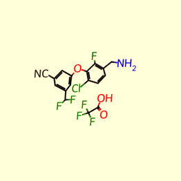 N#Cc1cc(Oc2c(Cl)ccc(CN)c2F)cc(C(F)F)c1.O=C(O)C(F)(F)F